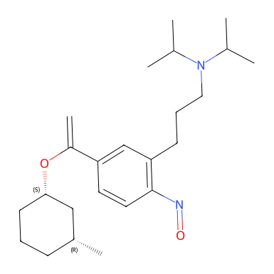 C=C(O[C@H]1CCC[C@@H](C)C1)c1ccc(N=O)c(CCCN(C(C)C)C(C)C)c1